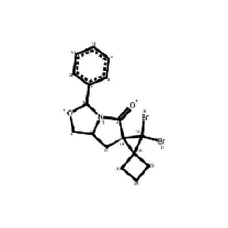 O=C1N2C(COC2c2ccccc2)C[C@]12C(Br)(Br)C21CCC1